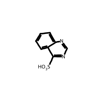 O=S(=O)(O)c1ncnc2ccccc12